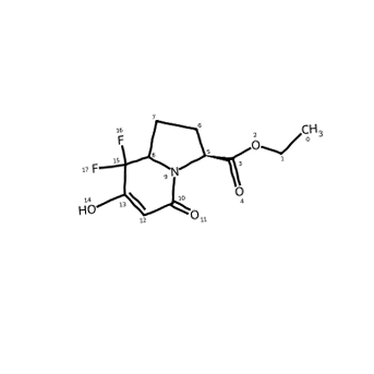 CCOC(=O)[C@@H]1CCC2N1C(=O)C=C(O)C2(F)F